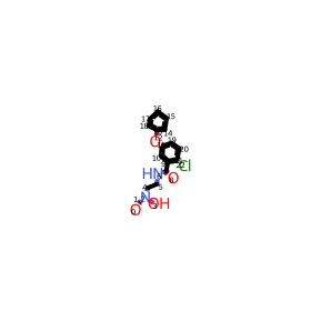 O=CN(O)CCNC(=O)c1cc(Oc2ccccc2)ccc1Cl